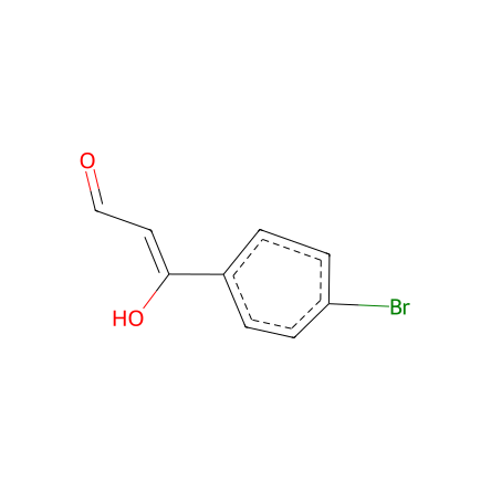 O=CC=C(O)c1ccc(Br)cc1